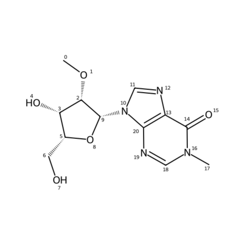 CO[C@H]1[C@@H](O)[C@@H](CO)O[C@H]1n1cnc2c(=O)n(C)cnc21